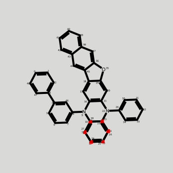 c1ccc(-c2cccc(N(c3ccccc3)c3cc4c(cc3N(c3ccccc3)c3ccccc3)oc3cc5ccccc5cc34)c2)cc1